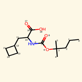 CCCC(C)(C)OC(=O)NC(CC1CCC1)C(=O)O